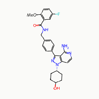 COc1ccc(F)cc1C(=O)NCc1ccc(-c2nn([C@H]3CC[C@H](O)CC3)c3ccnc(N)c23)cc1